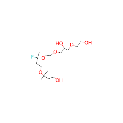 CC(C)(CCO)OCCC(C)(F)OCCOCC(O)COCCO